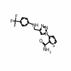 NC(=O)c1sccc1-n1cc(CNc2ccc(C(F)(F)F)cc2)nn1